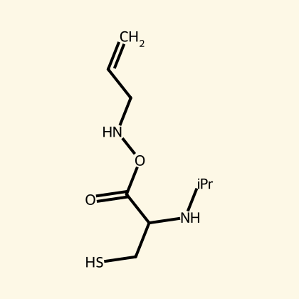 C=CCNOC(=O)C(CS)NC(C)C